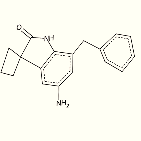 Nc1cc(Cc2ccccc2)c2c(c1)C1(CCC1)C(=O)N2